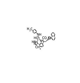 CCOC(=O)c1c(CCCOc2cccc3ccccc23)c2cccc(-c3c(C)n[nH]c3CO)c2n1CCCNc1ccc(C)cc1